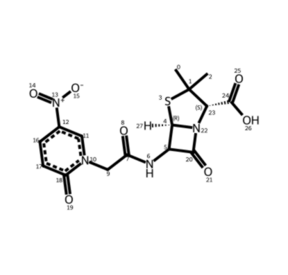 CC1(C)S[C@@H]2C(NC(=O)Cn3cc([N+](=O)[O-])ccc3=O)C(=O)N2[C@H]1C(=O)O